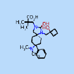 CN(C)[C@]1(c2ccccc2)CC[C@]2(CC1)CN(CC(C)(C)C(=O)O)C(O)N2CC1(O)CCC1